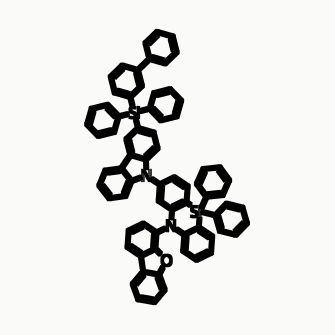 c1ccc(-c2cccc([Si](c3ccccc3)(c3ccccc3)c3ccc4c(c3)c3ccccc3n4-c3ccc4c(c3)N(c3cccc5c3oc3ccccc35)c3ccccc3[Si]4(c3ccccc3)c3ccccc3)c2)cc1